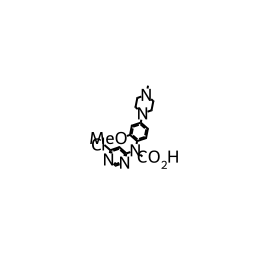 COc1cc(N2CCN(C)CC2)ccc1N(C(=O)O)c1cc(Cl)ncn1